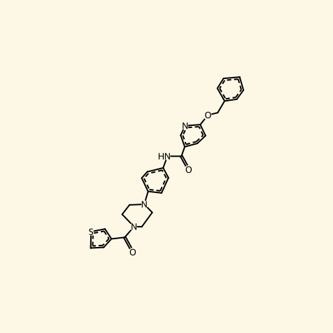 O=C(Nc1ccc(N2CCN(C(=O)c3ccsc3)CC2)cc1)c1ccc(OCc2ccccc2)nc1